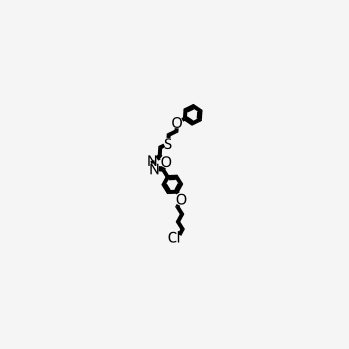 ClCCCCOc1ccc(-c2nnc(CSCCOc3ccccc3)o2)cc1